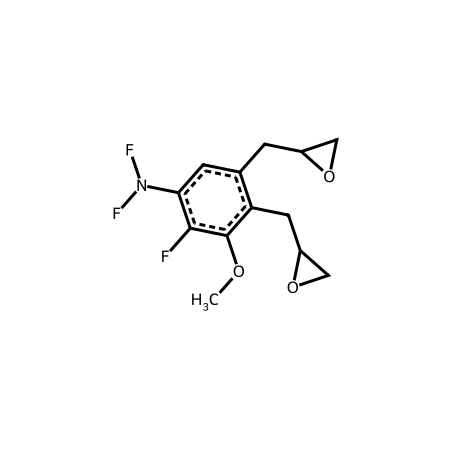 COc1c(F)c(N(F)F)cc(CC2CO2)c1CC1CO1